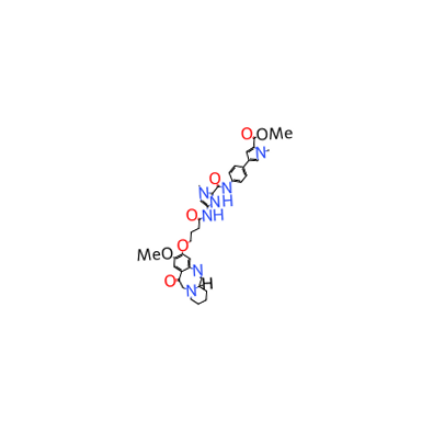 COC(=O)c1cc(-c2ccc(NC(=O)c3nc(NC(=O)CCCOc4cc5c(cc4OC)C(=O)CN4CCCC[C@H]4/C=N\5)cn3C)cc2)cn1C